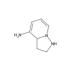 NC1=CC=CN2NCCC12